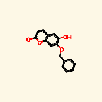 O=c1ccc2cc(O)c(OCc3ccccc3)cc2o1